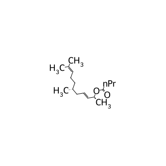 CCCC(=O)O[C@@H](C)/C=C/C[C@H](C)CCC=C(C)C